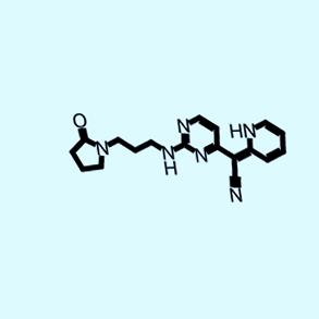 N#CC(=C1C=CC=CN1)c1ccnc(NCCCN2CCCC2=O)n1